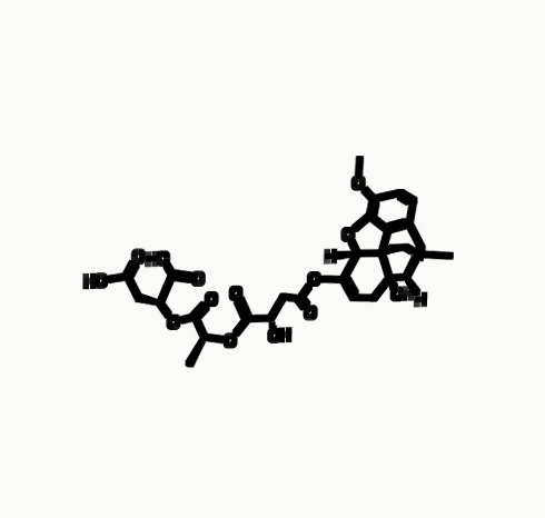 COc1ccc2c3c1O[C@H]1C(OC(=O)C[C@H](O)C(=O)O[C@@H](C)C(=O)O[C@@H](CC(=O)O)C(=O)O)=CC[C@@]4(O)[C@@H](C2)N(C)CC[C@]314